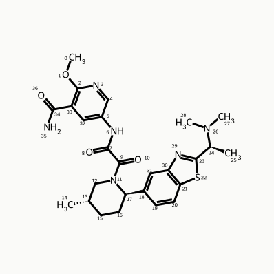 COc1ncc(NC(=O)C(=O)N2C[C@@H](C)CC[C@@H]2c2ccc3sc([C@H](C)N(C)C)nc3c2)cc1C(N)=O